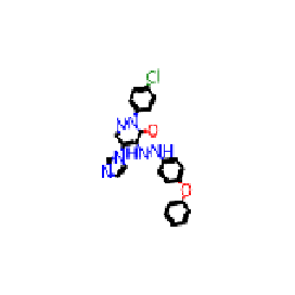 O=c1c(NNc2ccc(Oc3ccccc3)cc2)c(-n2ccnc2)cnn1-c1ccc(Cl)cc1